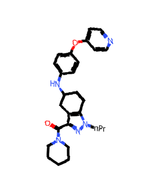 CCCn1nc(C(=O)N2CCCCC2)c2c1CCC(Nc1ccc(Oc3ccncc3)cc1)C2